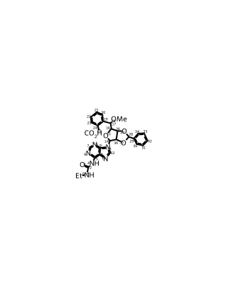 CCNC(=O)Nc1ncnc2c1ncn2C1OC(C(OC)c2ccccc2C(=O)O)C2OC(c3ccccc3)OC21